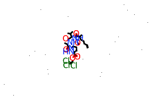 C=CCCC(OC)C(C)C(=O)NC(C(=O)NC(C)C(=O)N1CCCC(C(=O)OCC(Cl)(Cl)Cl)N1)C(C)C